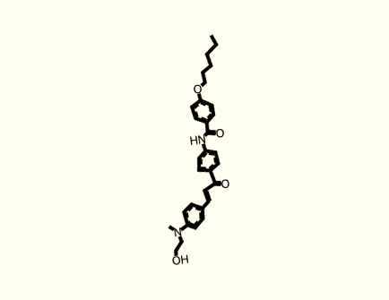 CCCCCCOc1ccc(C(=O)Nc2ccc(C(=O)/C=C/c3ccc(N(C)CCO)cc3)cc2)cc1